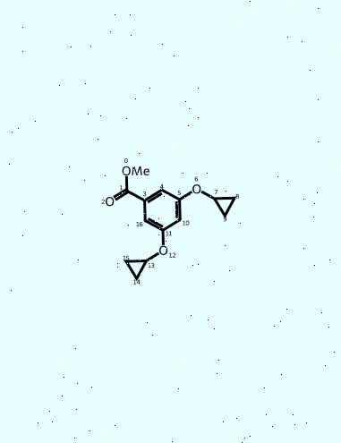 COC(=O)c1cc(OC2CC2)cc(OC2CC2)c1